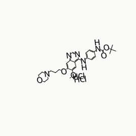 COc1cc2c(Nc3ccc(NC(=O)OC(C)(C)C)cc3)ncnc2cc1OCCCN1CCOCC1.Cl.Cl